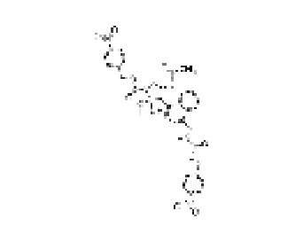 CC(=O)S[C@@H]1CN(C(=O)OCc2ccc([N+](=O)[O-])cc2)[C@@](C)(O)C1c1ccc(CNC(=O)OCc2ccc([N+](=O)[O-])cc2)c2ccccc12